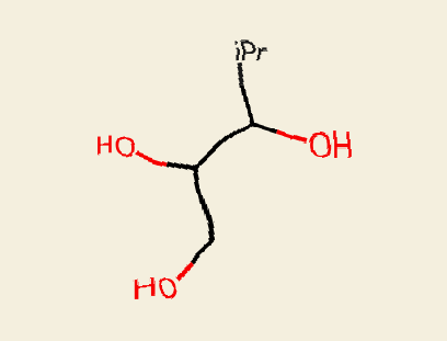 CC(C)C(O)C(O)CO